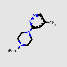 CCCC(C)N1CCN(c2cc(C(F)(F)F)cnn2)CC1